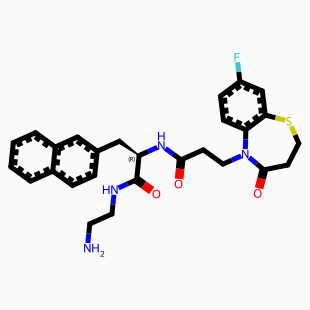 NCCNC(=O)[C@@H](Cc1ccc2ccccc2c1)NC(=O)CCN1C(=O)CCSc2cc(F)ccc21